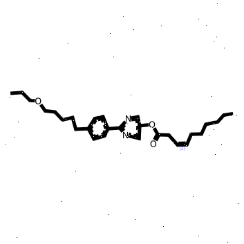 CCCCCC/C=C\CC(=O)Oc1cnc(-c2ccc(CCCCCOCCC)cc2)nc1